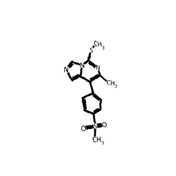 CSc1nc(C)c(-c2ccc(S(C)(=O)=O)cc2)c2cncn12